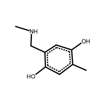 CNCc1cc(O)c(C)cc1O